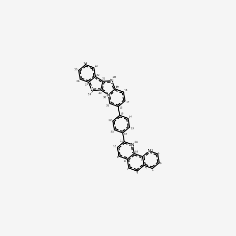 c1cnc2c(c1)ccc1ccc(-c3ccc(-c4ccc5nc6c7ccccc7sc6n5c4)cc3)nc12